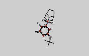 COC(=O)[C@@H](NC(=O)OC(C)(C)C)C1CC2CCC(C1)N2S(=O)(=O)c1cc(F)cc(F)c1